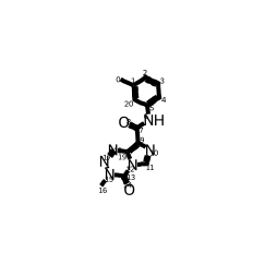 Cc1cccc(NC(=O)c2ncn3c(=O)n(C)nnc23)c1